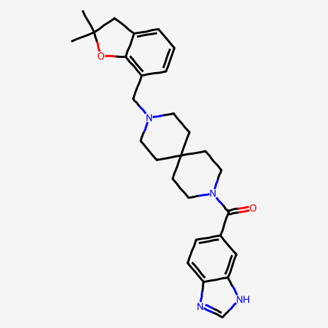 CC1(C)Cc2cccc(CN3CCC4(CC3)CCN(C(=O)c3ccc5nc[nH]c5c3)CC4)c2O1